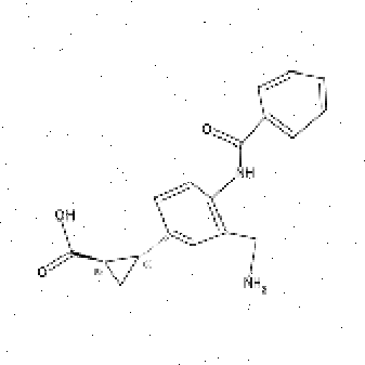 NCc1cc([C@@H]2C[C@H]2C(=O)O)ccc1NC(=O)c1ccccc1